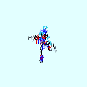 COC(=O)N[C@H](C(=O)N[C@@H](Cc1ccc(C#Cc2ccc(N3CC4CCC(C3)N4C3COC3)nc2)cc1)[C@@H](O)CN(Cc1c(F)cc(C(=N)/C=C\NC(F)F)cc1F)NC(=O)[C@@H](NC(=O)OC)C(C)(C)C(F)(F)F)C(C)(C)C(F)(F)F